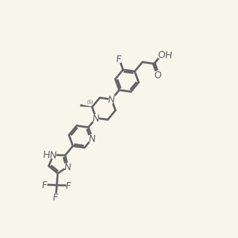 C[C@H]1CN(c2ccc(CC(=O)O)c(F)c2)CCN1c1ccc(-c2nc(C(F)(F)F)c[nH]2)cn1